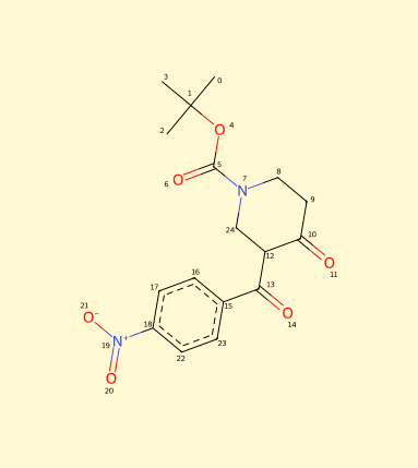 CC(C)(C)OC(=O)N1CCC(=O)C(C(=O)c2ccc([N+](=O)[O-])cc2)C1